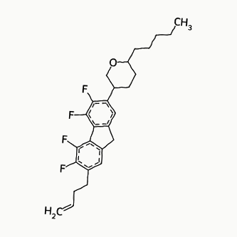 C=CCCc1cc2c(c(F)c1F)-c1c(cc(C3CCC(CCCCC)OC3)c(F)c1F)C2